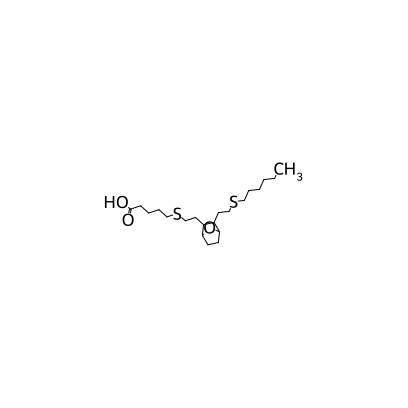 CCCCCCSCCC1C2CCC(O2)C1CCSCCCCC(=O)O